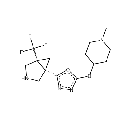 CN1CCC(Oc2nnc([C@]34CNC[C@@]3(C(F)(F)F)C4)o2)CC1